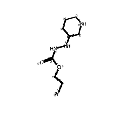 CC(C)CCOC(=O)NNC1CCCNC1